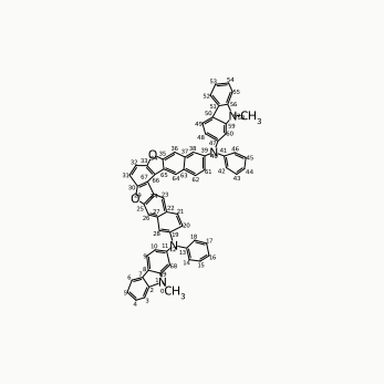 Cn1c2ccccc2c2ccc(N(c3ccccc3)c3ccc4cc5c(cc4c3)oc3ccc4oc6cc7cc(N(c8ccccc8)c8ccc9c%10ccccc%10n(C)c9c8)ccc7cc6c4c35)cc21